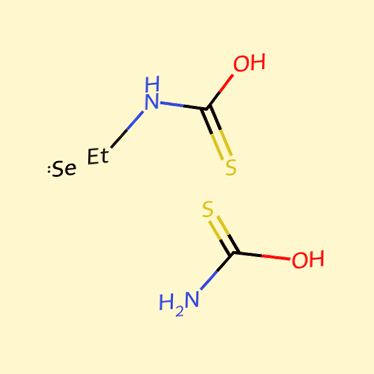 CCNC(O)=S.NC(O)=S.[Se]